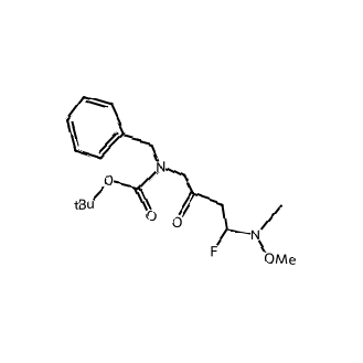 CON(C)C(F)CC(=O)CN(Cc1ccccc1)C(=O)OC(C)(C)C